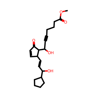 COC(=O)CCCC#CC(O)C1C(=O)C=CC1/C=C/C(O)C1CCCC1